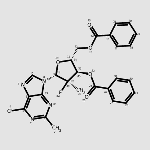 Cc1nc(Cl)c2ncn([C@@H]3O[C@H](COC(=O)c4ccccc4)[C@@H](OC(=O)c4ccccc4)[C@@]3(C)F)c2n1